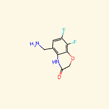 NCc1cc(F)c(F)c2c1NC(=O)CO2